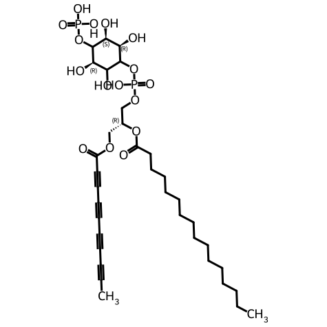 CC#CC#CC#CC#CC(=O)OC[C@H](COP(=O)(O)OC1C(O)[C@@H](O)C(OP(=O)(O)O)[C@@H](O)[C@H]1O)OC(=O)CCCCCCCCCCCCCCC